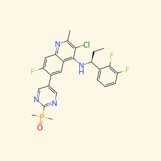 CC[C@H](Nc1c(Cl)c(C)nc2cc(F)c(-c3cnc(P(C)(C)=O)nc3)cc12)c1cccc(F)c1F